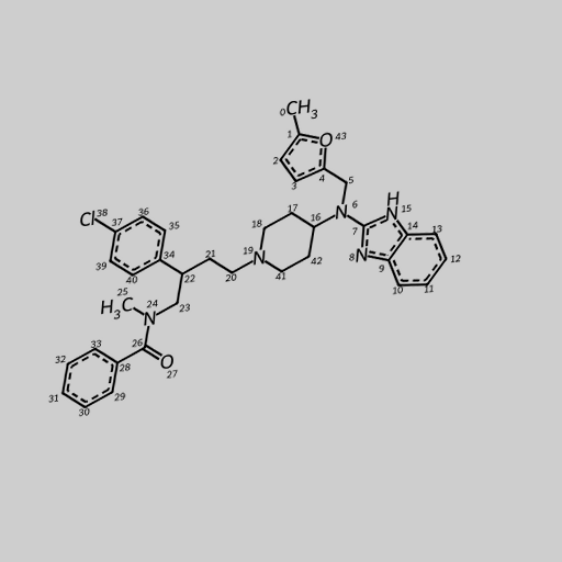 Cc1ccc(CN(c2nc3ccccc3[nH]2)C2CCN(CCC(CN(C)C(=O)c3ccccc3)c3ccc(Cl)cc3)CC2)o1